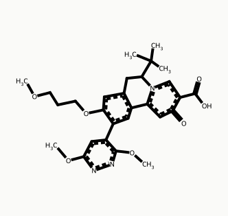 COCCCOc1cc2c(cc1-c1cc(OC)nnc1OC)-c1cc(=O)c(C(=O)O)cn1C(C(C)(C)C)C2